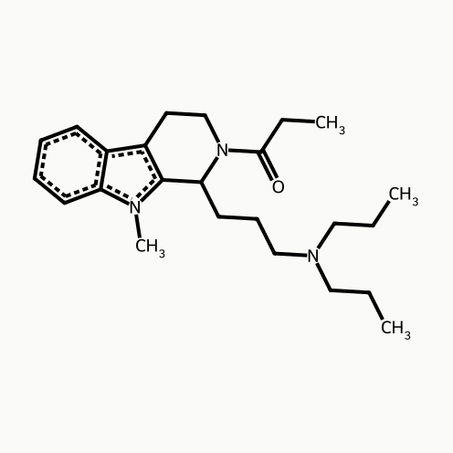 CCCN(CCC)CCCC1c2c(c3ccccc3n2C)CCN1C(=O)CC